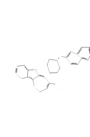 Cl.ClC1=CCNc2c3c([nH]c2=C1[C@H]1CC[C@H](Oc2ccc4ccccc4c2)CC1)=CN=NC3